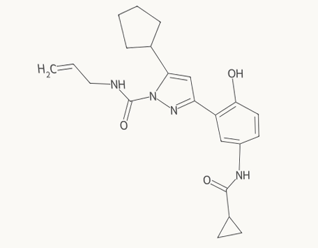 C=CCNC(=O)n1nc(-c2cc(NC(=O)C3CC3)ccc2O)cc1C1CCCC1